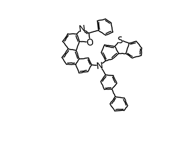 c1ccc(-c2ccc(N(c3ccc4sc5ccccc5c4c3)c3ccc4ccc5ccc6nc(-c7ccccc7)oc6c5c4c3)cc2)cc1